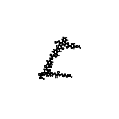 CC(C)[C@H](NCCNC(=O)CCOCCN)C(=O)N[C@@H](CCCNC(N)=O)C(=O)Nc1ccc(COC(=O)N2CCc3c2ccc2[nH]c(C(=O)N4C[C@@H](CBr)c5c4cc(OC(=O)N4CCN(C)CC4)c4ccccc54)cc32)cc1